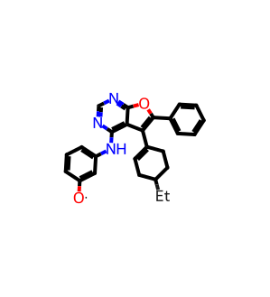 CCC1CC=C(c2c(-c3ccccc3)oc3ncnc(Nc4cccc([O])c4)c23)CC1